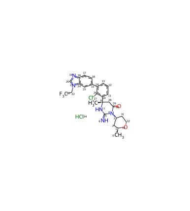 C[C@H]1C[C@@H](N2C(=N)N[C@](C)(c3cccc(-c4ccc5ncn(CC(F)(F)F)c5c4)c3Cl)CC2=O)CCO1.Cl